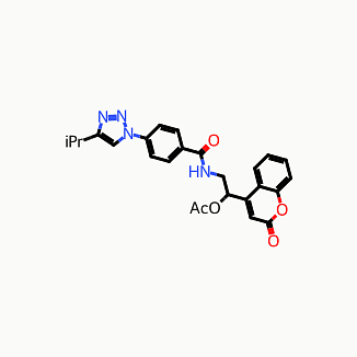 CC(=O)OC(CNC(=O)c1ccc(-n2cc(C(C)C)nn2)cc1)c1cc(=O)oc2ccccc12